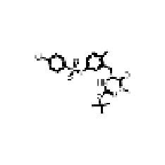 COC(=O)[C@H](Cc1cc(NS(=O)(=O)c2ccc(Cl)cc2)ccc1C)NC(=O)OC(C)(C)C